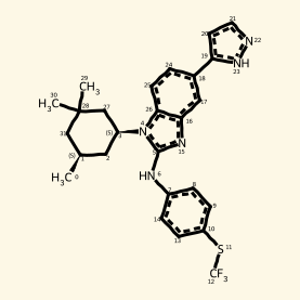 C[C@@H]1C[C@H](n2c(Nc3ccc(SC(F)(F)F)cc3)nc3cc(-c4ccn[nH]4)ccc32)CC(C)(C)C1